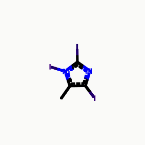 Cc1c(I)nc(I)n1I